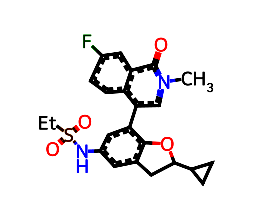 CCS(=O)(=O)Nc1cc2c(c(-c3cn(C)c(=O)c4cc(F)ccc34)c1)OC(C1CC1)C2